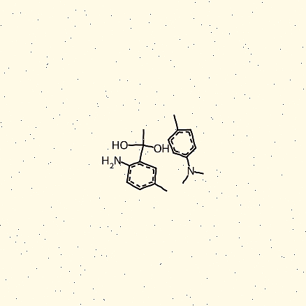 Cc1ccc(N(C)C)cc1.Cc1ccc(N)c(C(C)(O)O)c1